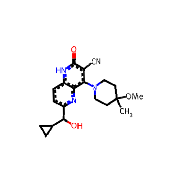 COC1(C)CCN(c2c(C#N)c(=O)[nH]c3ccc(C(O)C4CC4)nc23)CC1